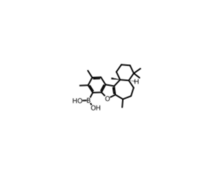 Cc1cc2c3c(oc2c(B(O)O)c1C)C(C)CC[C@@H]1C(C)(C)CCC[C@@]31C